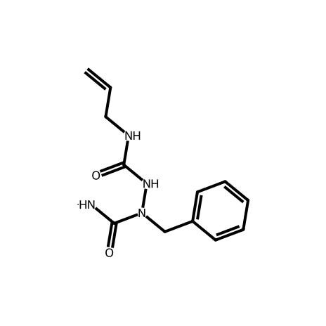 C=CCNC(=O)NN(Cc1ccccc1)C([NH])=O